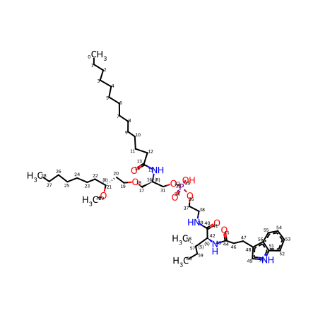 CCCCCCCCCCCCCC(=O)N[C@H](COCC[C@@H](CCCCCCC)OC)COP(=O)(O)OCCNC(=O)[C@@H](NC(=O)CCc1c[nH]c2ccccc12)[C@@H](C)CC